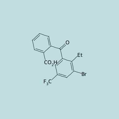 CCc1c(Br)cc(C(F)(F)F)cc1C(=O)c1ccccc1C(=O)O